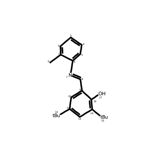 Cc1ccccc1/N=C/c1cc(C(C)(C)C)cc(C(C)(C)C)c1O